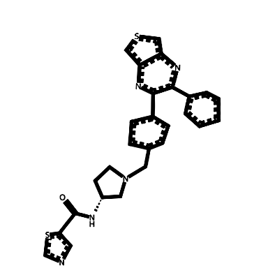 O=C(N[C@@H]1CCN(Cc2ccc(-c3nc4cscc4nc3-c3ccccc3)cc2)C1)c1cncs1